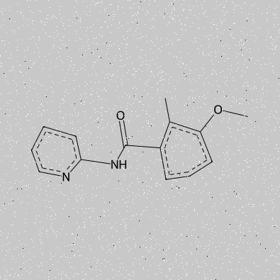 COc1cccc(C(=O)Nc2ccccn2)c1C